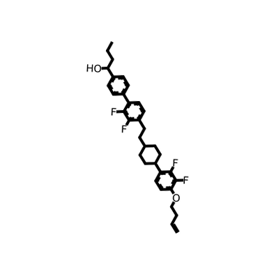 C=CCCOc1ccc(C2CCC(CCc3ccc(-c4ccc(C(O)CCC)cc4)c(F)c3F)CC2)c(F)c1F